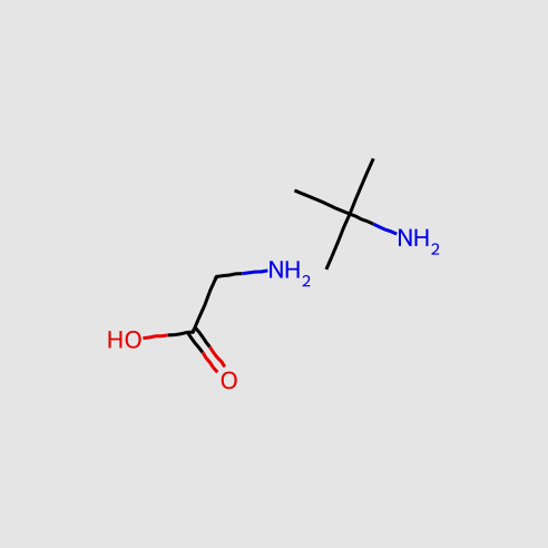 CC(C)(C)N.NCC(=O)O